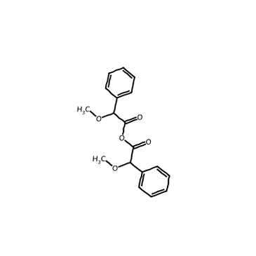 COC(C(=O)OC(=O)C(OC)c1ccccc1)c1ccccc1